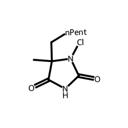 CCCCCCC1(C)C(=O)NC(=O)N1Cl